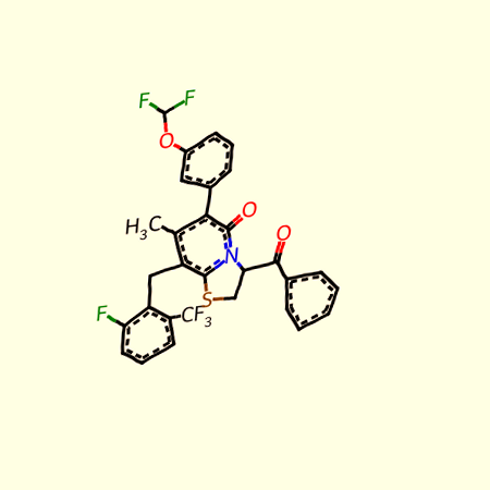 Cc1c(Cc2c(F)cccc2C(F)(F)F)c2n(c(=O)c1-c1cccc(OC(F)F)c1)C(C(=O)c1ccccc1)CS2